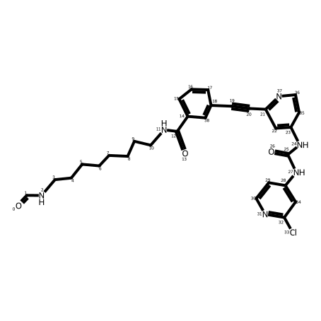 O=CNCCCCCCCCNC(=O)c1cccc(C#Cc2cc(NC(=O)Nc3ccnc(Cl)c3)ccn2)c1